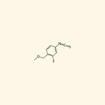 COCc1ccc(N=C=S)cc1F